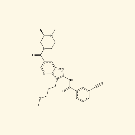 COCCCn1c(NC(=O)c2cccc(C#N)c2)nc2cc(C(=O)N3CCN(C)[C@H](C)C3)cnc21